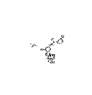 O=C(OOc1cc(OCCCC(F)(F)F)c2sc(C(F)(F)P(=O)(O)O)c(Br)c2c1)c1cccc(Cl)c1